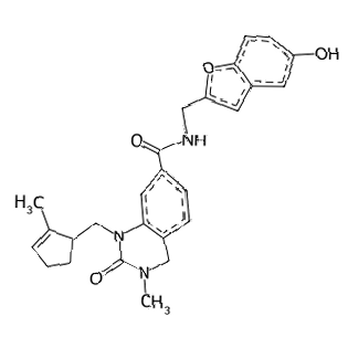 CC1=CCCC1CN1C(=O)N(C)Cc2ccc(C(=O)NCc3cc4cc(O)ccc4o3)cc21